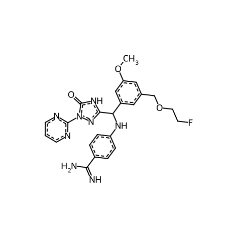 COc1cc(COCCF)cc(C(Nc2ccc(C(=N)N)cc2)c2nn(-c3ncccn3)c(=O)[nH]2)c1